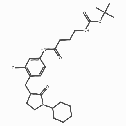 CC(C)(C)OC(=O)NCCCC(=O)Nc1ccc(CC2CCN(C3CCCCC3)C2=O)c(Cl)c1